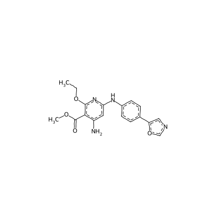 CCOc1nc(Nc2ccc(-c3cnco3)cc2)cc(N)c1C(=O)OC